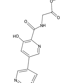 COC(=O)CNC(=O)c1ncc(-c2cncnc2)cc1O